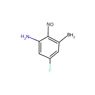 Bc1cc(F)cc(N)c1N=O